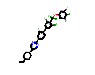 C=CC1CCC(c2cnc(-c3ccc(-c4cc(F)c(C(F)(F)Oc5cc(F)c(F)c(F)c5)c(F)c4)c(F)c3)nc2)CC1